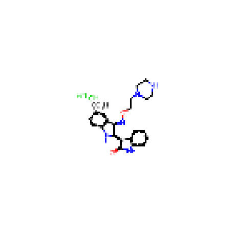 Cl.Cl.O=C1Nc2ccccc2/C1=C1/Nc2ccc(C(=O)O)cc2/C1=N\OCCN1CCNCC1